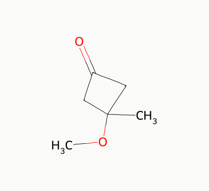 COC1(C)CC(=O)C1